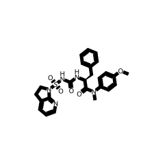 COc1ccc(N(C)C(=O)[C@H](Cc2ccccc2)NC(=O)NS(=O)(=O)N2CCc3cccnc32)cc1